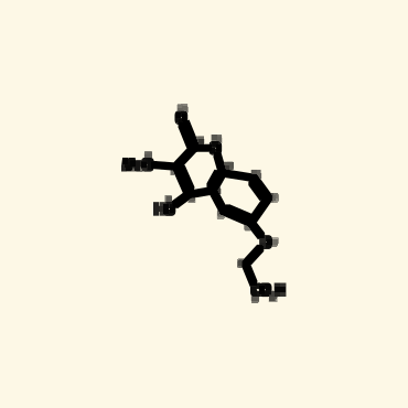 COc1c(O)c2cc(OCC(=O)O)ccc2oc1=O